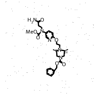 COC(=O)N(CCC(N)=O)c1ccc(OCCN2[C@H](C)CN(C(=O)OCc3ccccc3)C[C@@H]2C)nc1